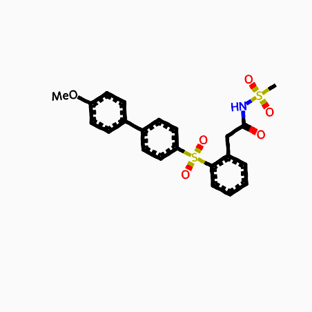 COc1ccc(-c2ccc(S(=O)(=O)c3ccccc3CC(=O)NS(C)(=O)=O)cc2)cc1